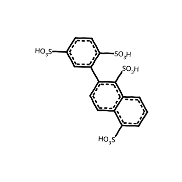 O=S(=O)(O)c1ccc(S(=O)(=O)O)c(-c2ccc3c(S(=O)(=O)O)cccc3c2S(=O)(=O)O)c1